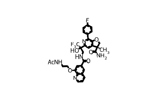 CC(=O)NCCOc1cc(C(=O)NCC(O)(c2cc3c(c(-c4ccc(F)cc4)n2)OC[C@]3(C)C(N)=O)C(F)(F)F)cc2cccnc12